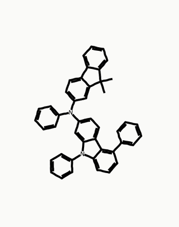 CC1(C)c2ccccc2-c2ccc(N(c3ccccc3)c3ccc4c5c(-c6ccccc6)cccc5n(-c5ccccc5)c4c3)cc21